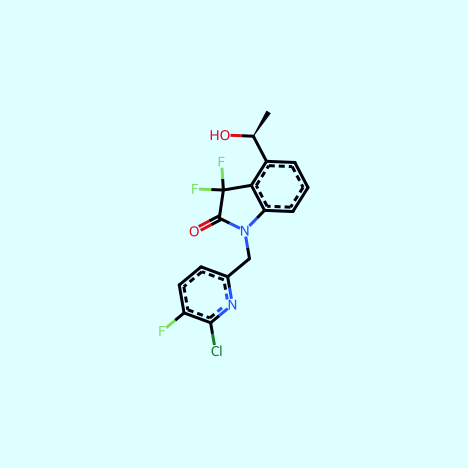 C[C@H](O)c1cccc2c1C(F)(F)C(=O)N2Cc1ccc(F)c(Cl)n1